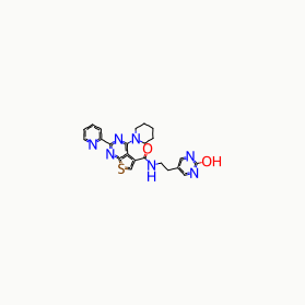 O=C(NCCc1cnc(O)nc1)c1csc2nc(-c3ccccn3)nc(N3CCCCC3)c12